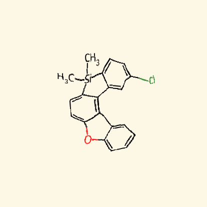 C[Si]1(C)c2ccc(Cl)cc2-c2c1ccc1oc3ccccc3c21